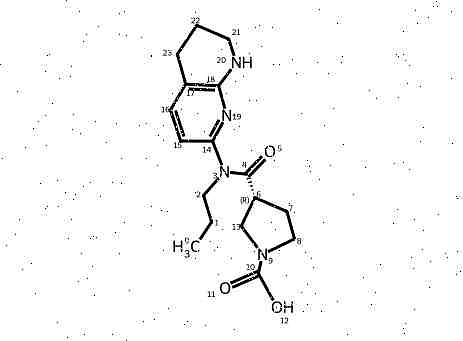 CCCN(C(=O)[C@@H]1CCN(C(=O)O)C1)c1ccc2c(n1)NCCC2